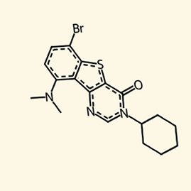 CN(C)c1ccc(Br)c2sc3c(=O)n(C4CCCCC4)cnc3c12